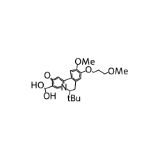 COCCCOc1cc2c(cc1OC)-c1cc(=O)c(C(O)O)cn1C(C(C)(C)C)C2